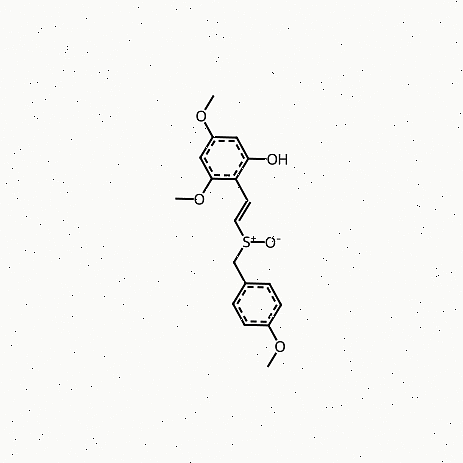 COc1ccc(C[S+]([O-])/C=C/c2c(O)cc(OC)cc2OC)cc1